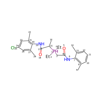 CC[PH](CC)(CC(=O)Nc1c(C)cccc1C)C(C)C(=O)Nc1c(C)cc(Cl)cc1C